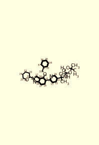 CC(C)(C)OC(=O)NC(C)(C)c1ccc(-c2ccc3nn(C4CCCCO4)cc3c2OCc2ccccc2)nc1